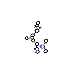 CC1(C)C2=C(c3ccccc31)C(C)(C)c1ccc(-c3ccc4c(c3)c3cc(-c5ccc6c(c5)c5c(n6-c6nc(-c7ccccc7)cc(-c7ccccc7)n6)-c6ccccc6C5(C)C)ccc3n4-c3ccccc3)cc12